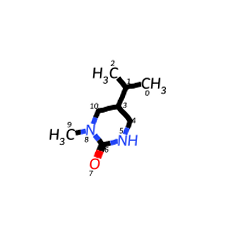 CC(C)C1CNC(=O)N(C)C1